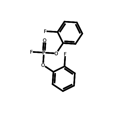 O=P(F)(Oc1ccccc1F)Oc1ccccc1F